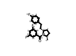 C[C@@H]1CC[C@H](CCc2ccc(F)cc2)N1C(=O)c1cc(F)cc(F)c1